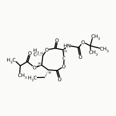 CC[C@H]1C(=O)OC[C@H](NC(=O)OC(C)(C)C)C(=O)O[C@@H](C)[C@@H]1OC(=O)C(C)C